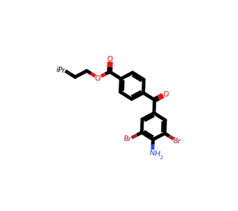 CC(C)CCOC(=O)c1ccc(C(=O)c2cc(Br)c(N)c(Br)c2)cc1